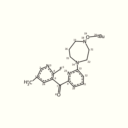 Cc1cnc(F)c(C(=O)c2cccc(N3CCCN(OC(C)(C)C)CC3)n2)c1